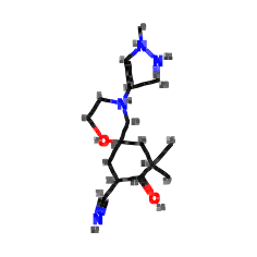 Cn1cc(N2CCOC3(CC(C#N)C(=O)C(C)(C)C3)C2)cn1